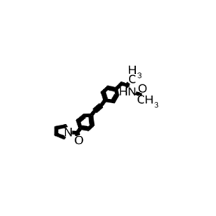 CC(=O)NC(C)Cc1ccc(C#Cc2ccc(C(=O)N3CCCC3)cc2)cc1